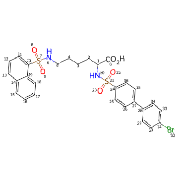 O=C(O)C(CCCCNS(=O)(=O)c1cccc2ccccc12)NS(=O)(=O)c1ccc(-c2ccc(Br)cc2)cc1